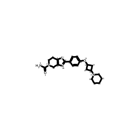 NC(=O)N1CCc2sc(-c3ccc(OC4CC(N5CCCCC5)C4)cc3)nc2C1